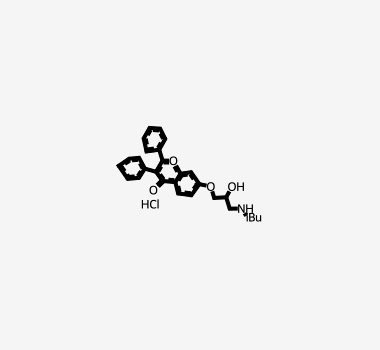 CCC(C)NCC(O)COc1ccc2c(=O)c(-c3ccccc3)c(-c3ccccc3)oc2c1.Cl